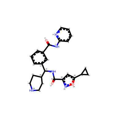 O=C(Nc1ccccn1)c1cccc(C(NC(=O)c2cc(C3CC3)on2)C2CCNCC2)c1